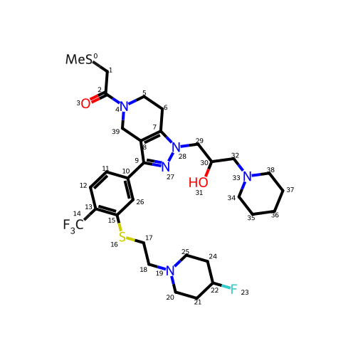 CSCC(=O)N1CCc2c(c(-c3ccc(C(F)(F)F)c(SCCN4CCC(F)CC4)c3)nn2CC(O)CN2CCCCC2)C1